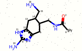 CC(C)C(=O)NCC1Cc2nc(N)[nH]c2CC1CN